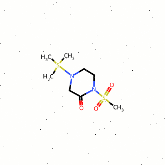 CS(C)(C)N1CCN(S(C)(=O)=O)C(=O)C1